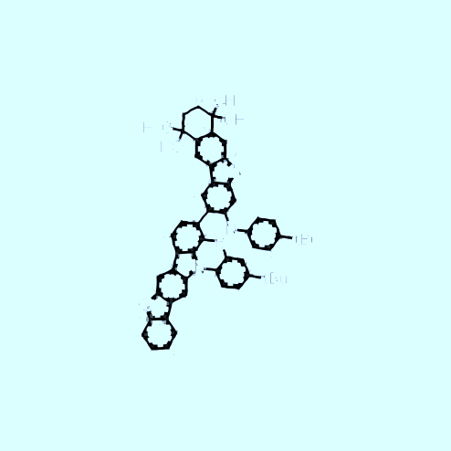 CC(C)(C)c1ccc(N2B3c4cc(C(C)(C)C)ccc4-n4c5cc6c(cc5c5ccc(c3c54)-c3cc4c(cc32)sc2cc3c(cc24)C(C)(C)CCC3(C)C)oc2ccccc26)cc1